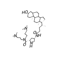 C[C@H](CCC(=O)N[C@@H]1CN[C@H](C(=O)N(CCCN(C)C)CCCN(C)C)C1)[C@H]1CCC2C3CCC4C[C@H](O)CC[C@]4(C)C3CC[C@@]21C